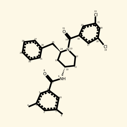 Cc1cc(C)cc(C(=O)N[C@H]2CCN(C(=O)c3cc(Cl)cc(Cl)c3)[C@H](Cc3ccccc3)C2)c1